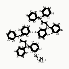 N#C[O-].[Au+].c1ccc(P(CCP(c2ccccc2)c2ccccc2)c2ccccc2)cc1.c1ccc(P(CCP(c2ccccc2)c2ccccc2)c2ccccc2)cc1